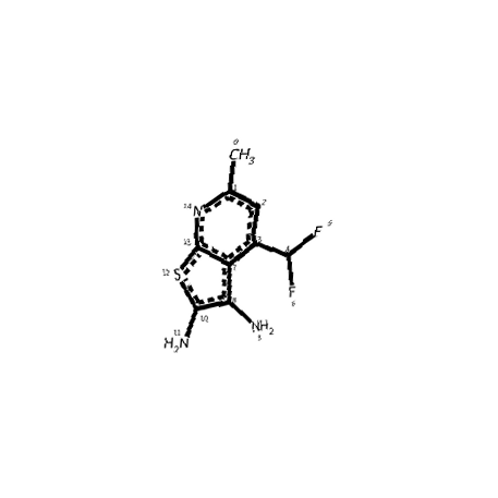 Cc1cc(C(F)F)c2c(N)c(N)sc2n1